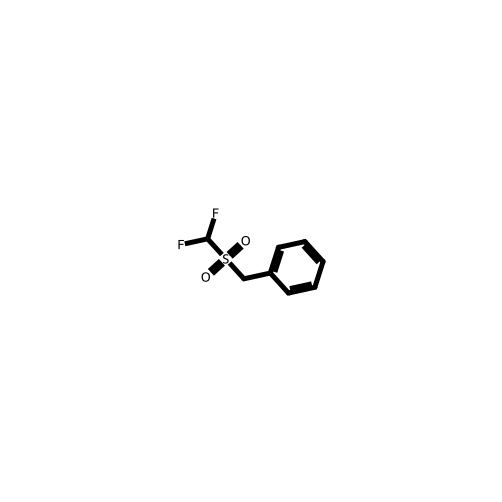 O=S(=O)(Cc1ccccc1)C(F)F